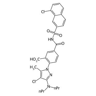 CCCN(CCC)c1nn(-c2ccc(C(=O)NS(=O)(=O)c3ccc4cccc(Cl)c4c3)cc2C(=O)O)c(C)c1Cl